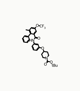 Cc1cc(OC(F)(F)F)cc(C(=O)Nc2cccc(OC3CCN(C(=O)OC(C)(C)C)CC3)c2)c1-c1ccccc1